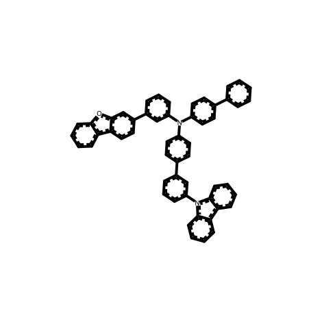 c1ccc(-c2ccc(N(c3ccc(-c4cccc(-n5c6ccccc6c6ccccc65)c4)cc3)c3cccc(-c4ccc5c(c4)oc4ccccc45)c3)cc2)cc1